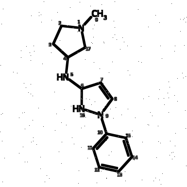 CN1CCC(NC2C=CN(c3ccccc3)N2)C1